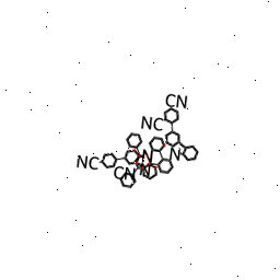 N#Cc1ccc(-c2ccc3c(c2)c2ccccc2n3-c2ccccc2-c2c(-c3nc(-c4ccccc4)cc(-c4ccccc4)n3)cccc2-n2c3ccccc3c3cc(-c4ccc(C#N)cc4C#N)ccc32)c(C#N)c1